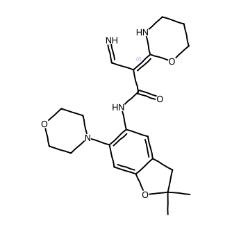 CC1(C)Cc2cc(NC(=O)/C(C=N)=C3/NCCCO3)c(N3CCOCC3)cc2O1